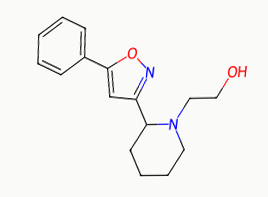 OCCN1CCCCC1c1cc(-c2ccccc2)on1